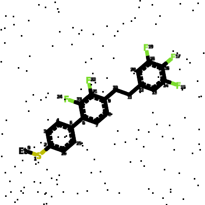 CCSc1ccc(-c2ccc(CCc3cc(F)c(F)c(F)c3)c(F)c2F)cc1